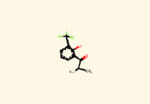 CC(C)C(=O)c1cccc(C(F)(F)F)c1O